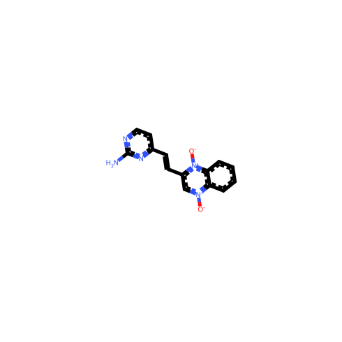 Nc1nccc(C=Cc2c[n+]([O-])c3ccccc3[n+]2[O-])n1